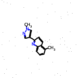 Cc1cccc2nc(-c3cnn(C)c3)ccc12